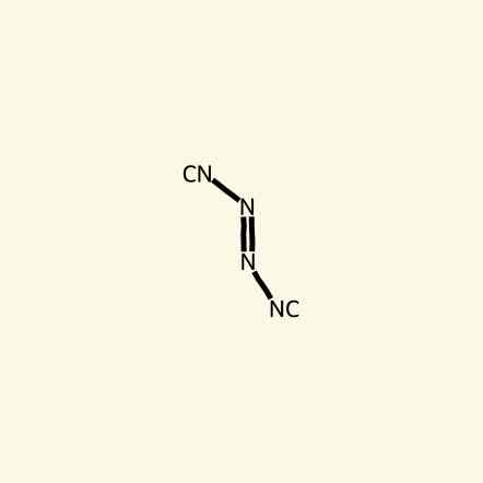 [C-]#[N+]N=N[N+]#[C-]